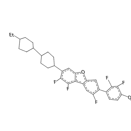 CCCOc1ccc(-c2cc3oc4cc(C5CCC(C6CCC(CC)CC6)CC5)c(F)c(F)c4c3cc2F)c(F)c1F